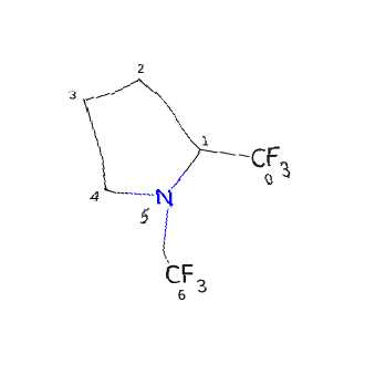 FC(F)(F)C1CCCN1C(F)(F)F